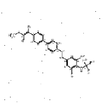 CC/C(F)=C(\F)c1ccc(-c2ccc(CCc3cc(F)c(OC(F)(F)F)c(F)c3)nc2)cc1